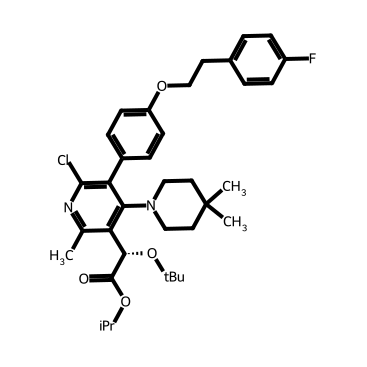 Cc1nc(Cl)c(-c2ccc(OCCc3ccc(F)cc3)cc2)c(N2CCC(C)(C)CC2)c1[C@H](OC(C)(C)C)C(=O)OC(C)C